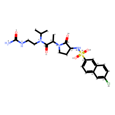 CC(C)N(CCNC(N)=O)C(=O)C(C)N1CCC(NS(=O)(=O)c2ccc3cc(Cl)ccc3c2)C1=O